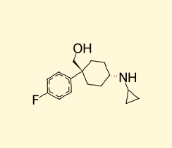 OC[C@]1(c2ccc(F)cc2)CC[C@@H](NC2CC2)CC1